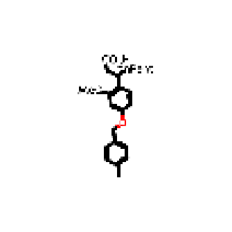 CCCCCC(CC(=O)O)c1ccc(OCc2ccc(C)cc2)cc1OC